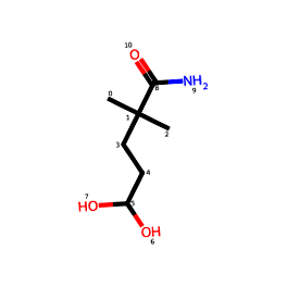 CC(C)(CCC(O)O)C(N)=O